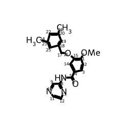 COc1ccc(C(=O)Nc2cnccn2)cc1OCc1cc(C)cc(C)c1